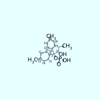 CCCC(OP(=O)(O)O)(c1ccc(C)cc1)c1ccc(C)cc1